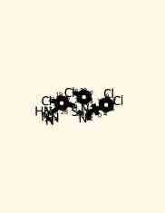 CC(C)(c1ccc(Cl)c(Cl)c1)c1cnc(SCc2ccc(Cl)c(-c3nnn[nH]3)c2)n1-c1cccc(Cl)c1